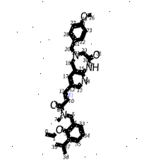 CCOc1c(CN(C)C(=O)/C=C/c2cnc3c(c2)CN(Cc2ccc(OC)cc2)CC(=O)N3)cccc1C(C)C